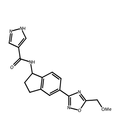 COCc1nc(-c2ccc3c(c2)CCC3NC(=O)c2cn[nH]c2)no1